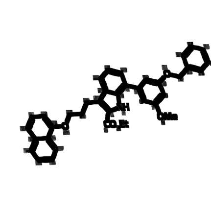 CCOC(=O)c1[nH]c2c(-c3cc(OC)cc(OCc4ccccc4)c3)cccc2c1CCCOc1cccc2ccccc12